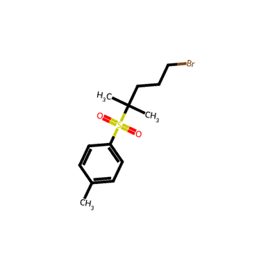 Cc1ccc(S(=O)(=O)C(C)(C)CCCBr)cc1